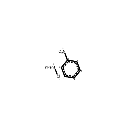 CCCCCCl.O=[N+]([O-])c1ccccc1